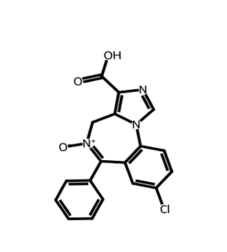 O=C(O)c1ncn2c1C[N+]([O-])=C(c1ccccc1)c1cc(Cl)ccc1-2